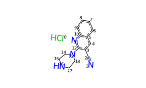 Cl.N#Cc1cc2ccccc2nc1N1CCNCC1